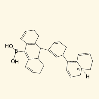 OB(O)C1=C2C=CCCC2C(C2=CC(C3=C4C=CCC[C@H]4CC=C3)CC=C2)C2=C1C=CCC2